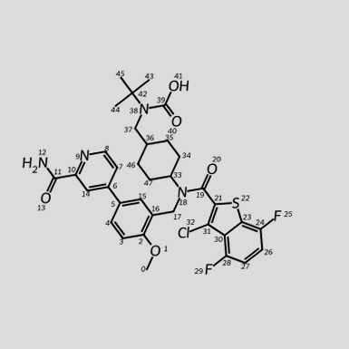 COc1ccc(-c2ccnc(C(N)=O)c2)cc1CN(C(=O)c1sc2c(F)ccc(F)c2c1Cl)C1CCC(CN(C(=O)O)C(C)(C)C)CC1